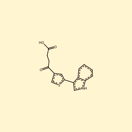 O=C(O)CCC(=O)c1csc(-c2c[nH]c3ccccc23)c1